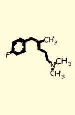 CC(CCCN(C)C)Cc1ccc(F)cc1